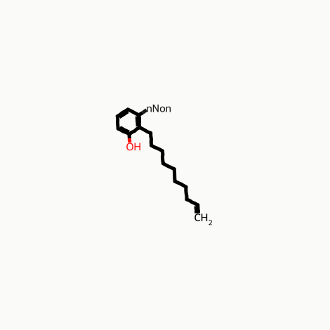 C=CCCCCCCCCc1c(O)cccc1CCCCCCCCC